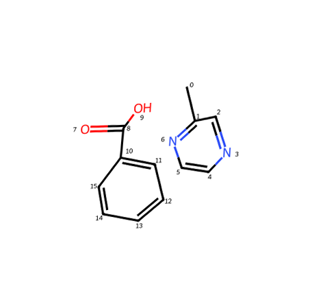 Cc1cnccn1.O=C(O)c1ccccc1